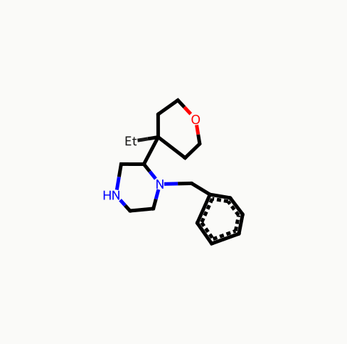 CCC1(C2CNCCN2Cc2ccccc2)CCOCC1